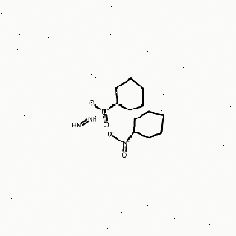 N=N.O=[N+]([O-])C1CCCCC1.O=[N+]([O-])C1CCCCC1